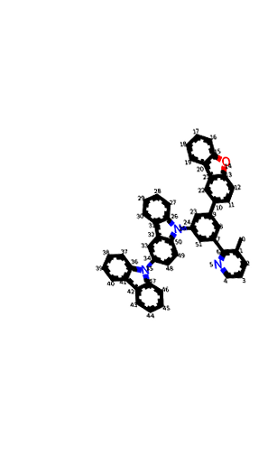 Cc1cccnc1-c1cc(-c2ccc3oc4ccccc4c3c2)cc(-n2c3ccccc3c3cc(-n4c5ccccc5c5ccccc54)ccc32)c1